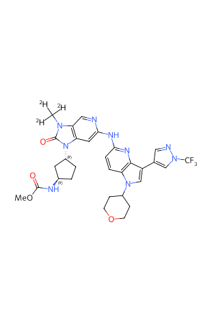 [2H]C([2H])([2H])n1c(=O)n([C@@H]2CC[C@@H](NC(=O)OC)C2)c2cc(Nc3ccc4c(n3)c(-c3cnn(C(F)(F)F)c3)cn4C3CCOCC3)ncc21